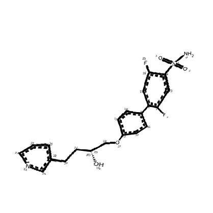 NS(=O)(=O)c1cc(F)c(-c2ccc(OC[C@H](O)CCc3cccnc3)cc2)cc1F